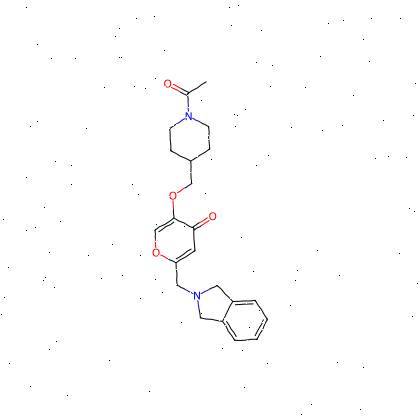 CC(=O)N1CCC(COc2coc(CN3Cc4ccccc4C3)cc2=O)CC1